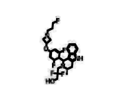 C[C@@H]1Cc2[nH]c3ccccc3c2C(C2C(F)=CC(OC3CN(CCCF)C3)=CC2F)N1CC(F)(F)CO